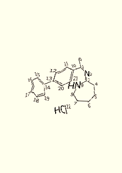 CC(/N=C1/CCCCCN1)c1ccc(-c2ccccc2)cc1.Cl